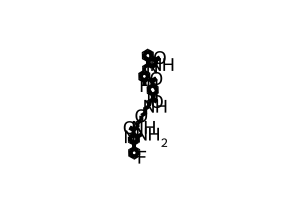 Nc1cc(-c2cccc(F)c2)cnc1C(=O)NCCOCCNCC(=O)N1CCN(C(=O)c2cc(Cc3n[nH]c(=O)c4ccccc34)ccc2F)CC1